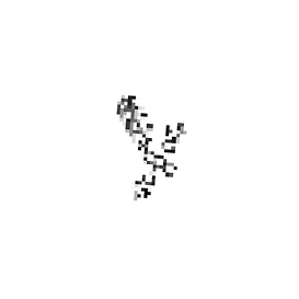 CC(Oc1ccc2c(-c3ccc(C(F)(F)F)cc3)c3ccccc3c(-c3ccc(C(F)(F)F)cc3)c2c1)C(F)(F)C(F)(F)C(F)(F)C(F)(F)C(F)(F)C(F)(F)F